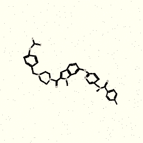 Cc1ccc(C(=O)N(C)c2ccc(Oc3ccc4cc(C(=O)N5CCN(Cc6ccc(OC(F)F)cc6)CC5)n(C)c4c3)nc2)cc1